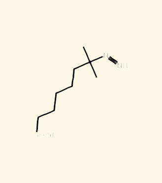 CCCCCCCCCCC(C)(C)N=N